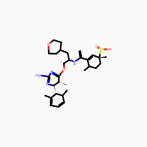 C=C(NC(COC1=NC(N)=NC([C@H]2C(C)=CC=CC2C)[C@H]1C)CC1CCOCC1)C1=C[C@](C)(S(=O)O)CCC1C